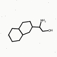 NC(CO)C1CCC2CCCCC2C1